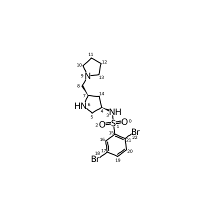 O=S(=O)(N[C@H]1CN[C@@H](CN2CCCC2)C1)c1cc(Br)ccc1Br